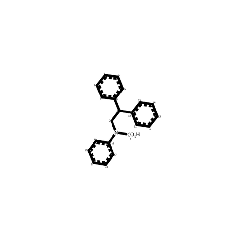 O=C(O)N(CC(c1ccccc1)c1ccccc1)c1ccccc1